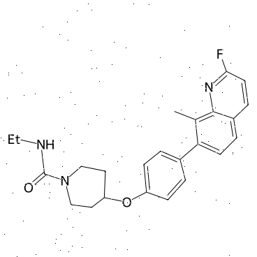 CCNC(=O)N1CCC(Oc2ccc(-c3ccc4ccc(F)nc4c3C)cc2)CC1